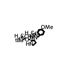 COc1ccc(CN([C@H]2CCN[C@H]2CO[Si](C)(C)C(C)(C)C)S(C)(=O)=O)cc1